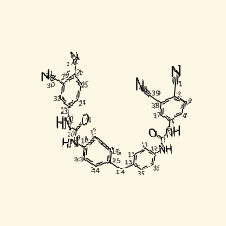 N#Cc1ccc(NC(=O)Nc2ccc(Cc3ccc(NC(=O)Nc4ccc(C#N)c(C#N)c4)cc3)cc2)cc1C#N